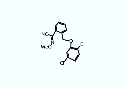 CON=C(C#N)c1ccccc1COc1cc(Cl)ccc1Cl